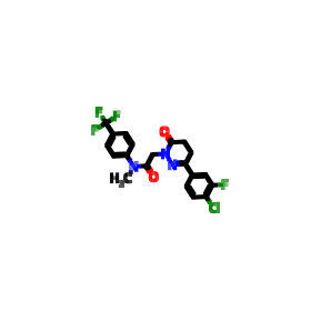 CN(C(=O)CN1N=C(c2ccc(Cl)c(F)c2)CCC1=O)c1ccc(C(F)(F)F)cc1